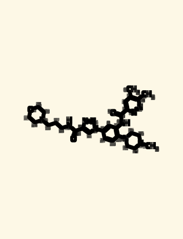 Cc1cc(C(=O)Nc2cc(-n3cc(C(=O)NCCCN4CCOCC4)nn3)ccc2N2CCN(C)CC2)nnc1C